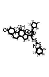 CC12CCC(=O)C=C1CCC1C2[C@@H](O)CC2(C)C1CC[C@]2(OC(=O)C1CCCC1)C(=O)CSc1nc2ccccc2s1